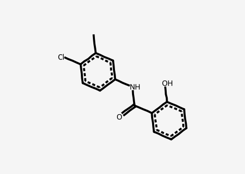 Cc1cc(NC(=O)c2ccccc2O)ccc1Cl